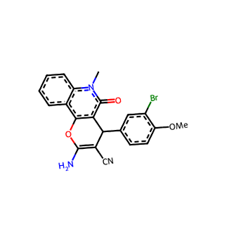 COc1ccc(C2C(C#N)=C(N)Oc3c2c(=O)n(C)c2ccccc32)cc1Br